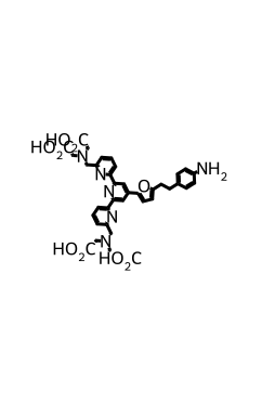 Nc1ccc(CCc2ccc(-c3cc(-c4cccc(CN(CC(=O)O)CC(=O)O)n4)nc(-c4cccc(CN(CC(=O)O)CC(=O)O)n4)c3)o2)cc1